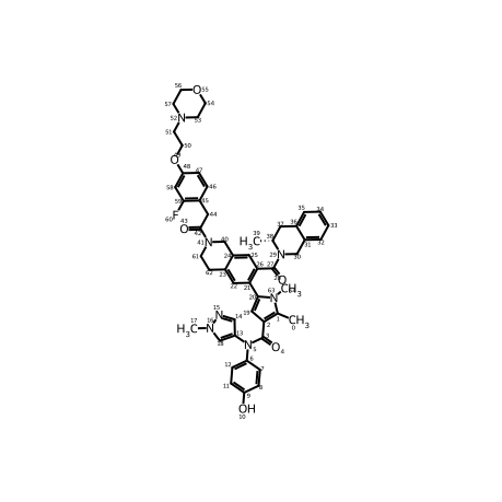 Cc1c(C(=O)N(c2ccc(O)cc2)c2cnn(C)c2)cc(-c2cc3c(cc2C(=O)N2Cc4ccccc4C[C@H]2C)CN(C(=O)Cc2ccc(OCCN4CCOCC4)cc2F)CC3)n1C